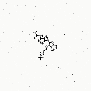 [2H]CC1OC(n2cnc3c(NC(=O)C(C)C)ncnc32)C(OCCSSC(C)(C)C)C1O